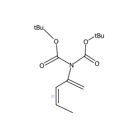 C=C(/C=C\C)N(C(=O)OC(C)(C)C)C(=O)OC(C)(C)C